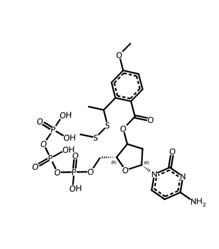 COc1ccc(C(=O)OC2C[C@H](n3ccc(N)nc3=O)O[C@@H]2COP(=O)(O)OP(=O)(O)OP(=O)(O)O)c(C(C)SSC)c1